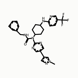 Cn1cc(-c2cnc(N(C(=O)NCc3ccccc3)C3CCC(Nc4ccc(C(F)(F)F)cn4)CC3)nc2)cn1